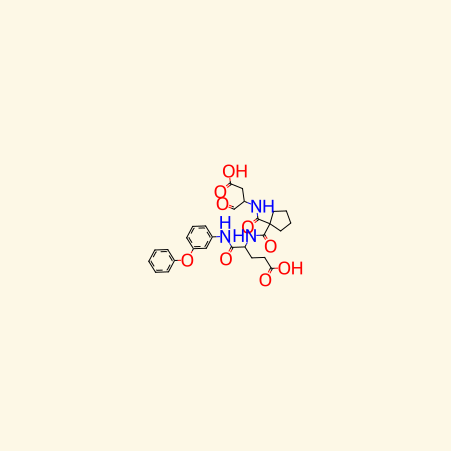 O=CC(CC(=O)O)NC(=O)C1(C(=O)NC(CCC(=O)O)C(=O)Nc2cccc(Oc3ccccc3)c2)CCCC1